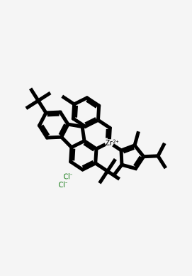 CC1=[C](/[Zr+2](=[CH]/c2ccc(C)cc2)[c]2c(C(C)(C)C)ccc3c2Cc2cc(C(C)(C)C)ccc2-3)C(C)C=C1C(C)C.[Cl-].[Cl-]